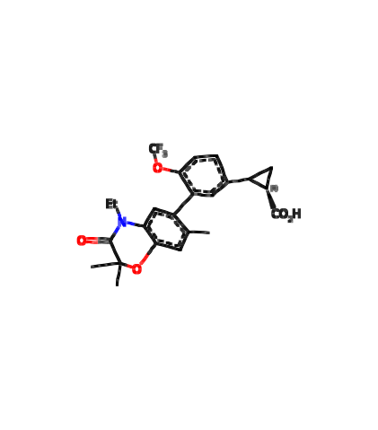 CCN1C(=O)C(C)(C)Oc2cc(C)c(-c3cc(C4C[C@H]4C(=O)O)ccc3OC(F)(F)F)cc21